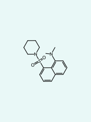 CN(C)c1cccc2cccc(S(=O)(=O)N3CCCCC3)c12